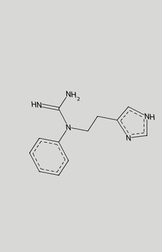 N=C(N)N(CCc1c[nH]cn1)c1ccccc1